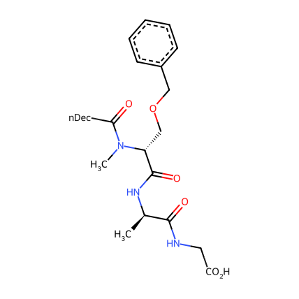 CCCCCCCCCCC(=O)N(C)[C@H](COCc1ccccc1)C(=O)N[C@H](C)C(=O)NCC(=O)O